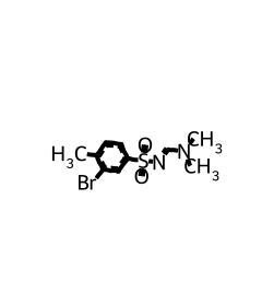 Cc1ccc(S(=O)(=O)/N=C/N(C)C)cc1Br